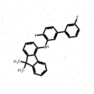 CC1(C)c2ccccc2-c2c(Nc3cc(-c4cccc(F)c4)ccc3F)cccc21